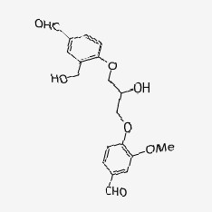 COc1cc(C=O)ccc1OCC(O)COc1ccc(C=O)cc1CO